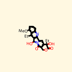 CCc1c2c(nc3cccc(OC)c13)-c1cc3c(c(=O)n1C2O)COC(=O)[C@]3(O)CC